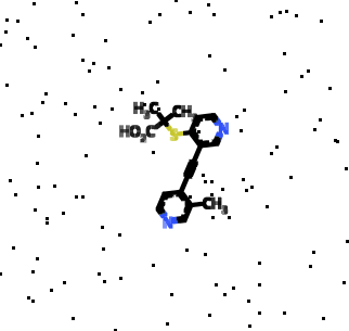 Cc1cnccc1C#Cc1cnccc1SC(C)(C)C(=O)O